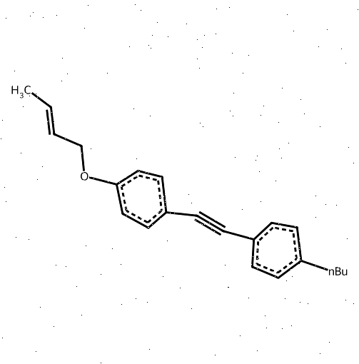 CC=CCOc1ccc(C#Cc2ccc(CCCC)cc2)cc1